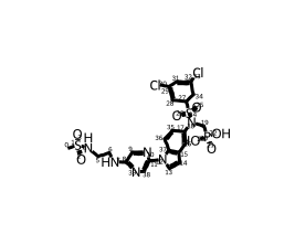 CS(=O)(=O)NCCNc1cnc(-n2ccc3cc(N(CP(=O)(O)O)S(=O)(=O)C4C=C(Cl)C=C(Cl)C4)ccc32)cn1